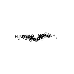 Nc1ccc(NC(=O)c2ccc3c(c2)C(=O)N(c2ccc(Oc4ccc(N5C(=O)c6ccc(C(=O)Nc7ccc(N)nc7)cc6C5=O)cc4)cc2)C3=O)cn1